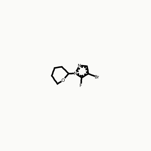 Fc1c(Br)cnn1C1CCCCO1